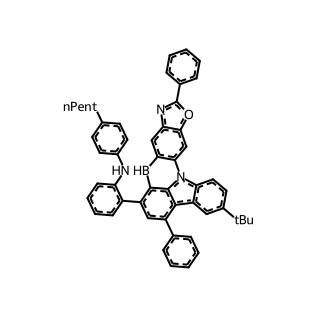 CCCCCc1ccc(Nc2ccccc2-c2cc(-c3ccccc3)c3c4cc(C(C)(C)C)ccc4n4c3c2Bc2cc3nc(-c5ccccc5)oc3cc2-4)cc1